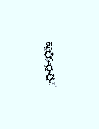 Cc1ccc(-c2ccc(-c3nc4cc5nc(C)oc5nc4o3)cn2)nc1